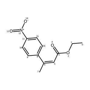 CCOC(=O)/C=C(/C)c1ccc([N+](=O)[O-])cc1